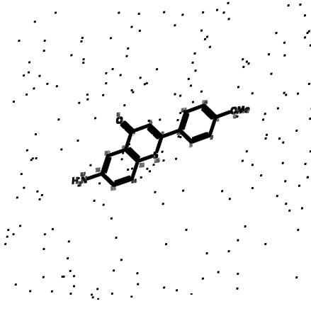 COc1ccc(-c2cc(=O)c3cc(N)ccc3s2)cc1